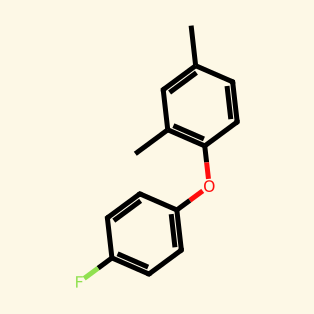 Cc1ccc(Oc2ccc(F)cc2)c(C)c1